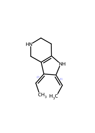 C/C=c1/c2c([nH]/c1=C/C)CCNC2